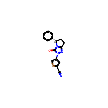 N#Cc1cc(-n2nc3n(c2=O)[C@H](c2ccccc2)CC3)cs1